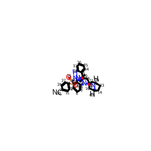 Cc1nc2ccccc2n1[C@H]1C[C@H]2CC[C@@H](C1)N2CCC(CNS(=O)(=O)c1ccc(C#N)cc1)c1ccccc1